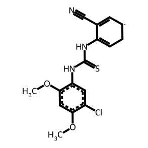 COc1cc(OC)c(NC(=S)NC2=CC[CH]C=C2C#N)cc1Cl